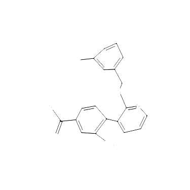 NC(=O)c1ccc(-c2cccnc2NCc2cccc(Cl)c2)c(C(F)(F)F)c1